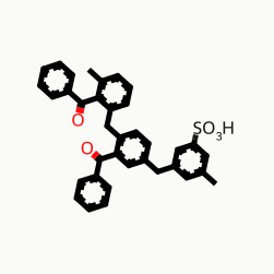 Cc1cc(Cc2ccc(Cc3cccc(C)c3C(=O)c3ccccc3)c(C(=O)c3ccccc3)c2)cc(S(=O)(=O)O)c1